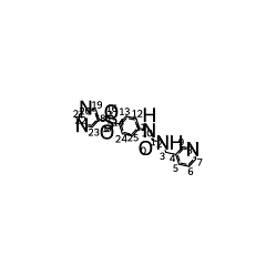 O=C(NCc1cccnc1)Nc1ccc(S(=O)(=O)c2cncnc2)cc1